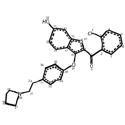 O=C(c1ccccc1Cl)c1sc2cc(O)ccc2c1Oc1ccc(CCN2CCC2)cc1